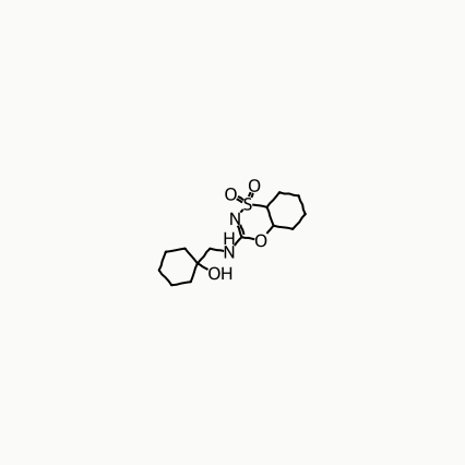 O=S1(=O)N=C(NCC2(O)CCCCC2)OC2CCCCC21